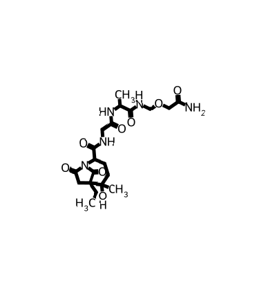 CCC12CC(=O)N(C1=O)C(C(=O)NCC(=O)NC(C)C(=O)NCOCC(N)=O)CCC2(C)O